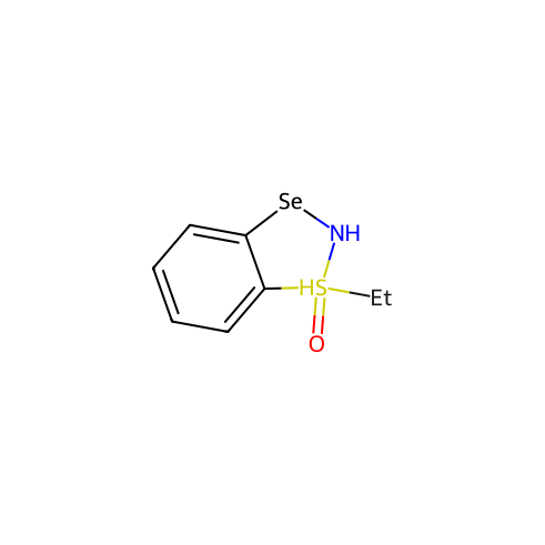 CC[SH]1(=O)N[Se]c2ccccc21